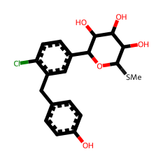 CSC1OC(c2ccc(Cl)c(Cc3ccc(O)cc3)c2)C(O)C(O)C1O